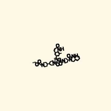 CCOC(=O)CN1CCC(C2CCN(C(=O)C(OC(=O)N3CCC(N4CCc5ccccc5NC4=O)CC3)[C@H](C)c3cc(C)c4[nH]c(=O)ccc4c3)CC2)CC1